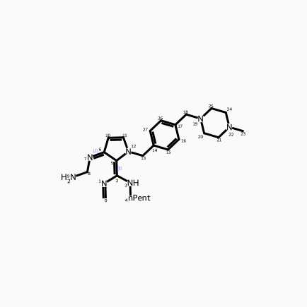 C=N/C(NCCCCC)=C1\C(=N/CN)C=CN1Cc1ccc(CN2CCN(C)CC2)cc1